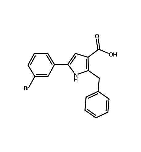 O=C(O)c1cc(-c2cccc(Br)c2)[nH]c1Cc1ccccc1